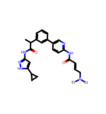 CCN(CC)CC=CC(=O)Nc1ccc(-c2cccc(C(C)C(=O)Nc3cc(C4CC4)[nH]n3)c2)cn1